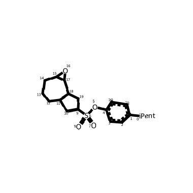 CCCC(C)c1ccc(OS(=O)(=O)C2CC3CCCC4OC4C3C2)cc1